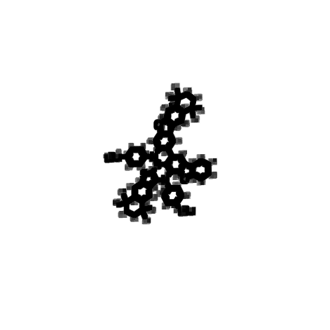 CC(C)(C)c1ccc(N2B3c4sc5cc6c(cc5c4N(c4ccc(C(C)(C)C)cc4)c4c3c(cc3c4oc4ccccc43)-c3cc4c(cc32)oc2cc3c(cc24)C(C)(C)CCC3(C)C)C(C)(C)CCC6(C)C)cc1